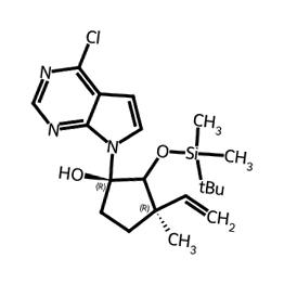 C=C[C@@]1(C)CC[C@](O)(n2ccc3c(Cl)ncnc32)C1O[Si](C)(C)C(C)(C)C